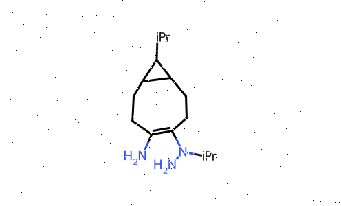 CC(C)C1C2CC/C(N)=C(/N(N)C(C)C)CCC21